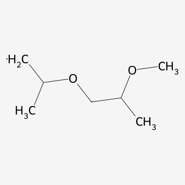 [CH2]C(C)OCC(C)OC